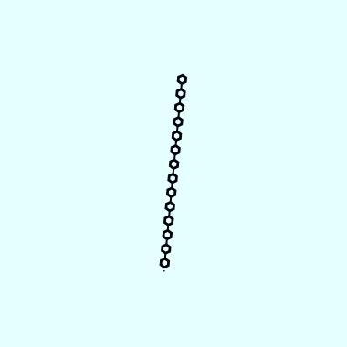 [c]1ccc(-c2ccc(-c3ccc(-c4ccc(-c5ccc(-c6ccc(-c7ccc(-c8ccc(-c9ccc(-c%10ccc(-c%11ccc(-c%12ccc(-c%13ccc(-c%14ccccc%14)cc%13)cc%12)cc%11)cc%10)cc9)cc8)cc7)cc6)cc5)cc4)cc3)cc2)cc1